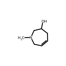 CN1CC=CCC(O)C1